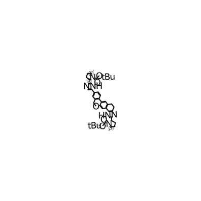 C[C@H]1CCC(c2nc3c([nH]2)-c2cc4c(cc2CC3)-c2ccc(-c3cnc([C@@H]5CC[C@H](C)N5C(=O)OC(C)(C)C)[nH]3)cc2CO4)N1C(=O)OC(C)(C)C